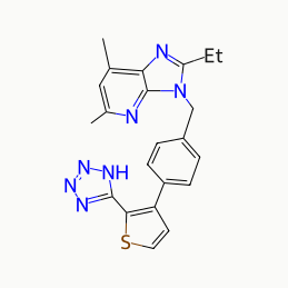 CCc1nc2c(C)cc(C)nc2n1Cc1ccc(-c2ccsc2-c2nnn[nH]2)cc1